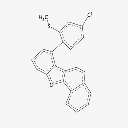 CSc1cc(Cl)ccc1-c1cccc2oc3c4ccccc4ccc3c12